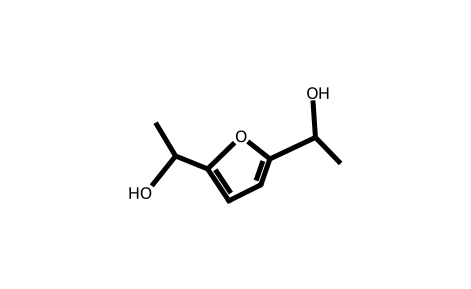 CC(O)c1ccc(C(C)O)o1